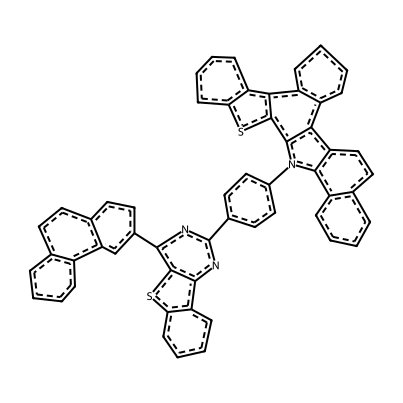 c1ccc2c(c1)ccc1ccc(-c3nc(-c4ccc(-n5c6c7ccccc7ccc6c6c7ccccc7c7c8ccccc8sc7c65)cc4)nc4c3sc3ccccc34)cc12